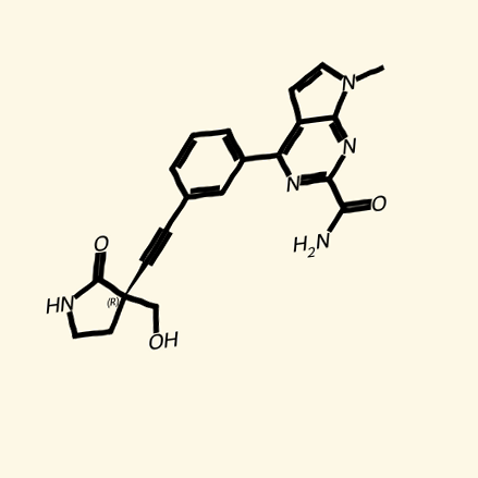 Cn1ccc2c(-c3cccc(C#C[C@@]4(CO)CCNC4=O)c3)nc(C(N)=O)nc21